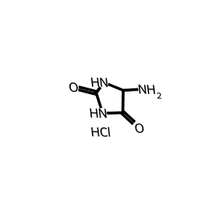 Cl.NC1NC(=O)NC1=O